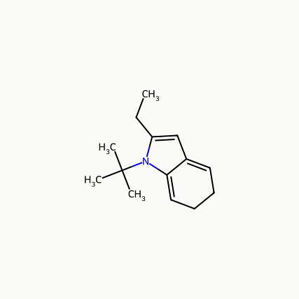 CCc1cc2c(n1C(C)(C)C)=CCCC=2